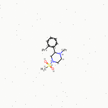 CC(C)c1ccccc1C1CN(S(C)(=O)=O)CCN1C(C)C